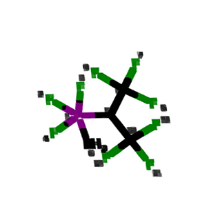 BP(F)(F)(F)C(C(F)(F)F)C(F)(F)F